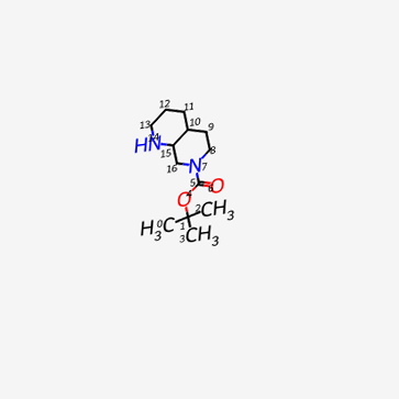 CC(C)(C)OC(=O)N1CCC2CCCNC2C1